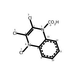 O=C(O)N1C(Cl)=C(Cl)N(Cl)c2ccccc21